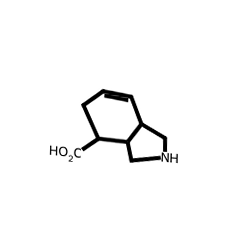 O=C(O)C1CC=CC2CNCC21